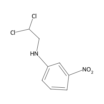 O=[N+]([O-])c1cccc(NCC(Cl)Cl)c1